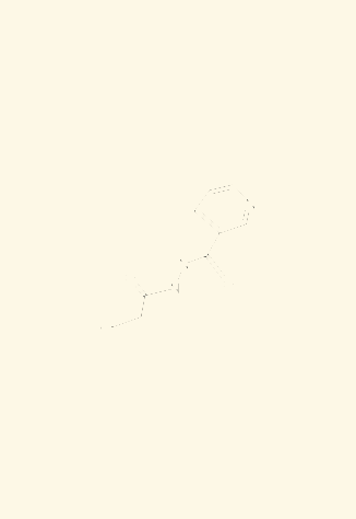 O=C(CCl)NNC(=O)c1cccnc1